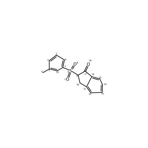 Cc1cccc(S(=O)(=O)C2Cc3ccccc3C2=O)c1